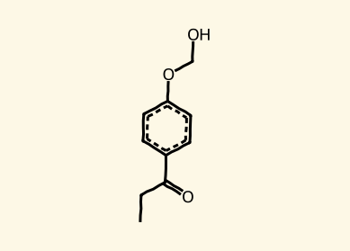 CCC(=O)c1ccc(OCO)cc1